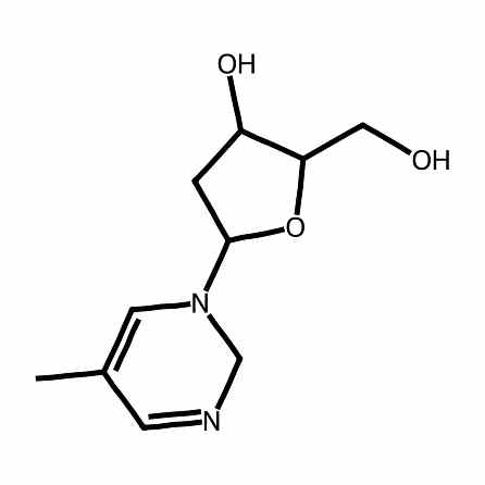 CC1=CN(C2CC(O)C(CO)O2)CN=C1